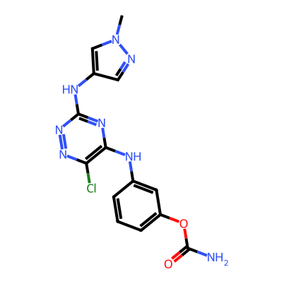 Cn1cc(Nc2nnc(Cl)c(Nc3cccc(OC(N)=O)c3)n2)cn1